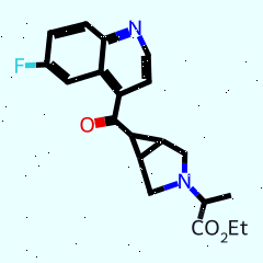 CCOC(=O)C(C)N1CC2C(C1)C2C(=O)c1ccnc2ccc(F)cc12